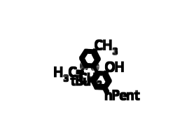 C=C(C)[C@@H]1CCC(C)=C[C@H]1c1c(O)cc(CCCCC)cc1C(C)(C)C